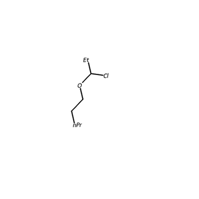 CCCCCOC(Cl)CC